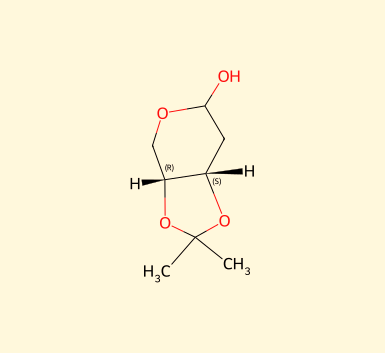 CC1(C)O[C@H]2CC(O)OC[C@H]2O1